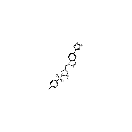 Cc1ccc(S(=O)(=O)N2CC(Cn3ncc4cc(-c5cn[nH]c5)ccc43)C[C@@H]2C)cc1